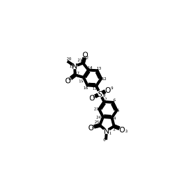 CN1C(=O)c2ccc(S(=O)(=O)c3ccc4c(c3)C(=O)N(C)C4=O)cc2C1=O